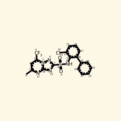 Cc1cc(C(F)(F)F)n2nc(S(=O)(=O)Nc3c(Cl)cccc3-c3ccccc3)nc2n1